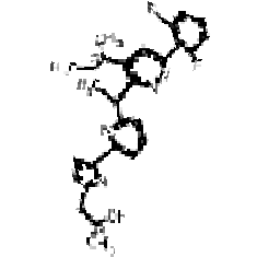 CC[C@H](C)c1cc(-c2c(F)cccc2F)nnc1C(C)c1cccc(-c2ccn(C[C@H](C)O)n2)n1